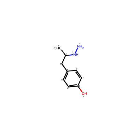 NNC([C]=O)Cc1ccc(O)cc1